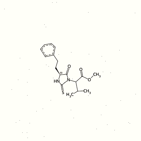 COC(=O)C(C(C)C)N1C(=O)[C@H](CCc2ccccc2)NC1=S